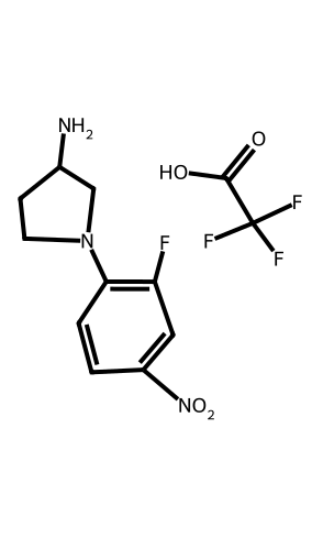 NC1CCN(c2ccc([N+](=O)[O-])cc2F)C1.O=C(O)C(F)(F)F